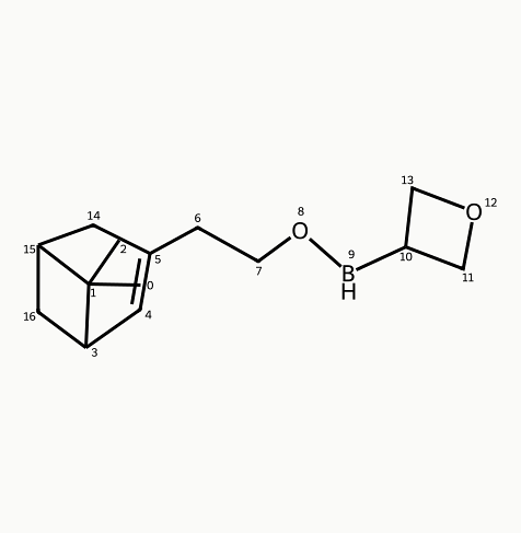 CC1(C)C2C=C(CCOBC3COC3)CC1C2